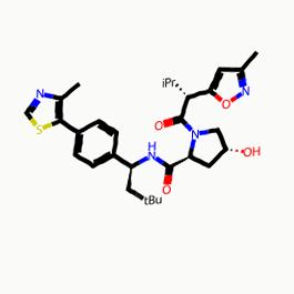 Cc1cc([C@H](C(=O)N2C[C@H](O)C[C@H]2C(=O)N[C@@H](CC(C)(C)C)c2ccc(-c3scnc3C)cc2)C(C)C)on1